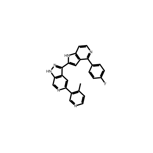 Cc1ccncc1-c1cc2c(-c3cc4c(-c5ccc(F)cc5)nccc4[nH]3)n[nH]c2cn1